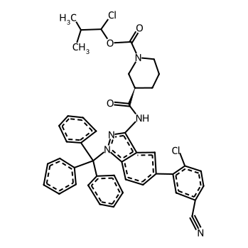 CC(C)C(Cl)OC(=O)N1CCC[C@@H](C(=O)Nc2nn(C(c3ccccc3)(c3ccccc3)c3ccccc3)c3ccc(-c4cc(C#N)ccc4Cl)cc23)C1